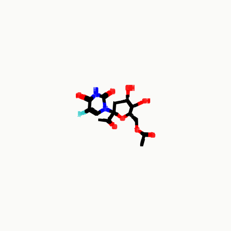 CC(=O)OC[C@H]1O[C@@](C(C)=O)(n2cc(F)c(=O)[nH]c2=O)C[C@@H](O)[C@H]1O